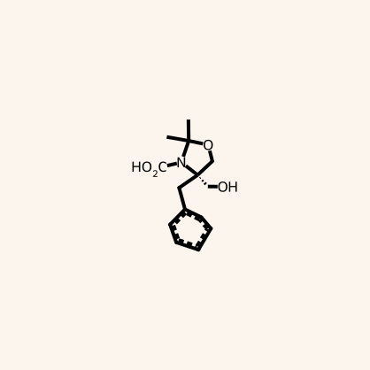 CC1(C)OC[C@@](CO)(Cc2ccccc2)N1C(=O)O